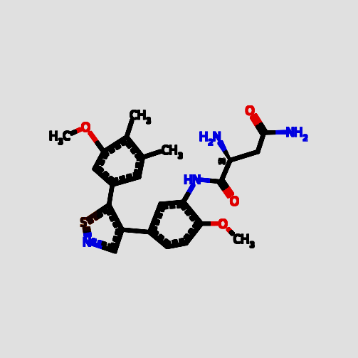 COc1ccc(-c2cnsc2-c2cc(C)c(C)c(OC)c2)cc1NC(=O)[C@@H](N)CC(N)=O